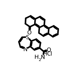 Cl.NC(=O)c1ccc2c(c1)N=CC=CS2.O=C1CCC=c2ccc3c(c21)CC=c1ccccc1=3